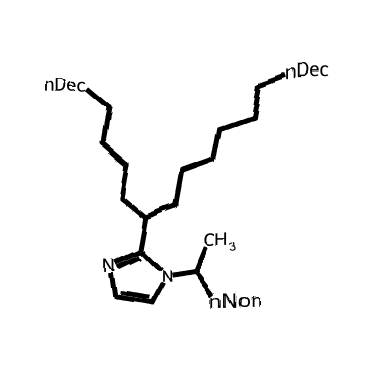 CCCCCCCCCCCCCCCCC(CCCCCCCCCCCCCC)c1nccn1C(C)CCCCCCCCC